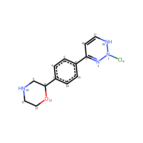 ClN1N=C(c2ccc(C3CNCCO3)cc2)C=CN1